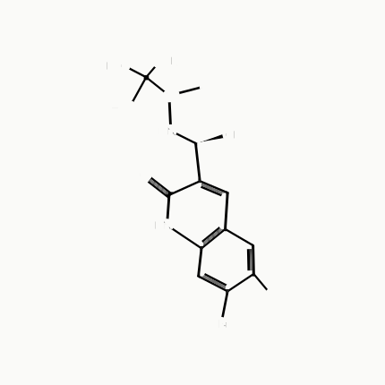 C[C@H](N[S+]([O-])C(C)(C)C)c1cc2cc(Cl)c(Br)cc2[nH]c1=O